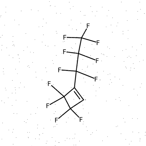 FC(F)(F)C(F)(F)C(F)(F)C1=[C]C(F)(F)C1(F)F